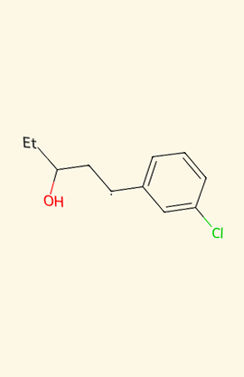 CCC(O)C[CH]c1cccc(Cl)c1